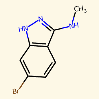 CNc1n[nH]c2cc(Br)ccc12